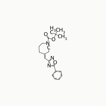 CC(C)(C)OC(=O)N1CCC/C(=C/c2noc(-c3ccccc3)n2)CC1